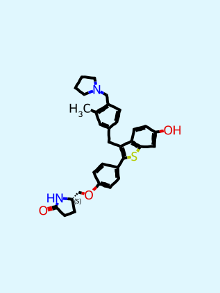 Cc1cc(Cc2c(-c3ccc(OC[C@@H]4CCC(=O)N4)cc3)sc3cc(O)ccc23)ccc1CN1CCCC1